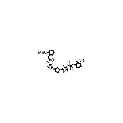 COc1ccccc1CC(=O)Nc1nnc([C@@H]2CC[C@@H](c3nnc(NC(=O)Cc4ccccc4OC)s3)C2)s1